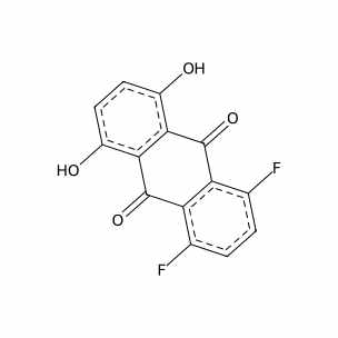 O=C1c2c(O)ccc(O)c2C(=O)c2c(F)ccc(F)c21